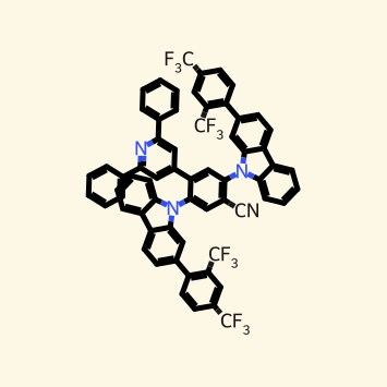 N#Cc1cc(-n2c3ccccc3c3ccc(-c4ccc(C(F)(F)F)cc4C(F)(F)F)cc32)c(-c2cc(-c3ccccc3)nc(-c3ccccc3)c2)cc1-n1c2ccccc2c2ccc(-c3ccc(C(F)(F)F)cc3C(F)(F)F)cc21